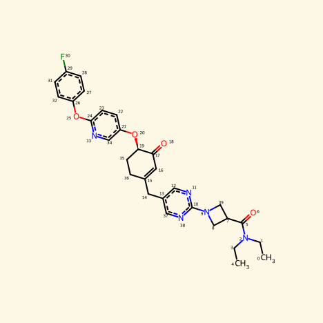 CCN(CC)C(=O)C1CN(c2ncc(CC3=CC(=O)[C@H](Oc4ccc(Oc5ccc(F)cc5)nc4)CC3)cn2)C1